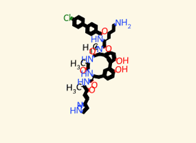 C[C@H](NC(=O)[C@@H]1Cc2ccc(O)c(c2)-c2cc(ccc2O)[C@H](N(C)C(=O)[C@H](CCCCN)NC(=O)c2ccc(-c3ccc(Cl)cc3)cc2)C(=O)N[C@@H](C)C(=O)N1)C(=O)/C=C/c1cc[nH]n1